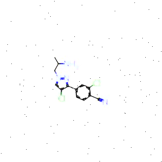 CC(N)Cn1cc(Cl)c(-c2ccc(C#N)c(Cl)c2)n1